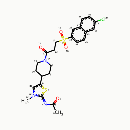 CC(=O)/N=c1\sc(C2CCN(C(=O)CCS(=O)(=O)c3ccc4cc(Cl)ccc4c3)CC2)cn1C